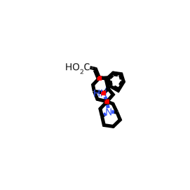 O=C(O)/C=C/c1ccccc1NC1CC2CCCC(C1)N2C1CC2CCCC(C2)C1